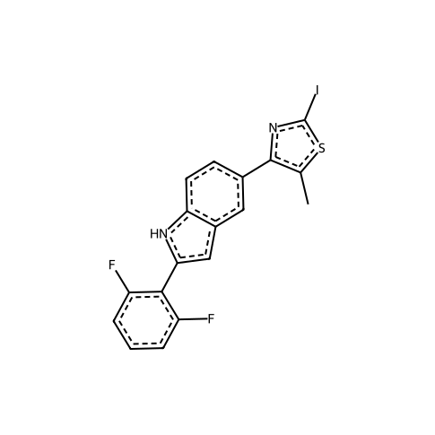 Cc1sc(I)nc1-c1ccc2[nH]c(-c3c(F)cccc3F)cc2c1